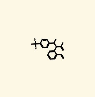 C=Cc1ccccc1C(C(=C)C)C(C)c1ccc(C(C)(F)F)cc1